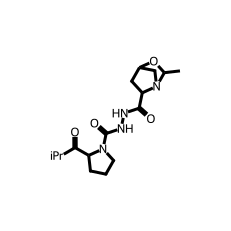 CC(C)C(=O)C1CCCN1C(=O)NNC(=O)C1CC2CN1C(C)O2